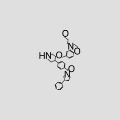 COCCCN1CCOc2ccc(COC3CNCCC3c3ccc(C(=O)N4CCC(c5ccccc5)C4)cc3)cc21